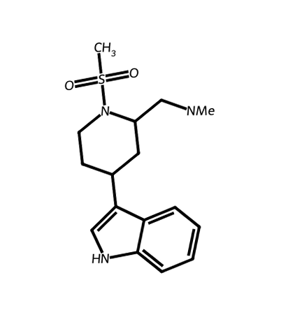 CNCC1CC(c2c[nH]c3ccccc23)CCN1S(C)(=O)=O